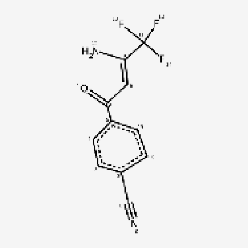 N#Cc1ccc(C(=O)/C=C(\N)C(F)(F)F)cc1